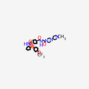 CN1CCC(N2CCN(C(=O)CNC(=O)c3ccc(S(=O)(=O)Nc4ccccc4Oc4ccc(OC(F)(F)F)cc4)cc3)CC2)CC1